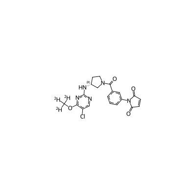 [2H]C([2H])([2H])Oc1nc(N[C@@H]2CCN(C(=O)c3cccc(N4C(=O)C=CC4=O)c3)C2)ncc1Cl